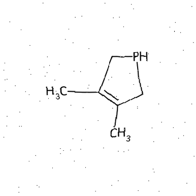 CC1=C(C)CPC1